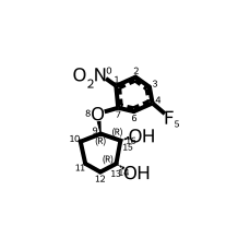 O=[N+]([O-])c1ccc(F)cc1O[C@@H]1CCC[C@@H](O)[C@H]1O